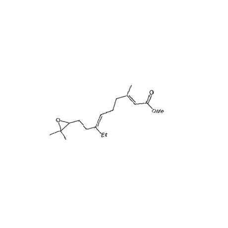 CCC(=CCCC(C)=CC(=O)OC)CCC1OC1(C)C